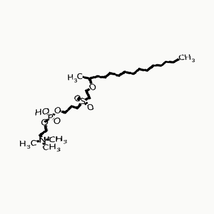 CCCCCCCCCCCCCC(C)OCCS(=O)(=O)CCCOP(=O)(O)OCC[N+](C)(C)C